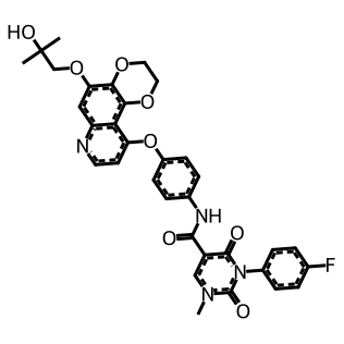 Cn1cc(C(=O)Nc2ccc(Oc3ccnc4cc(OCC(C)(C)O)c5c(c34)OCCO5)cc2)c(=O)n(-c2ccc(F)cc2)c1=O